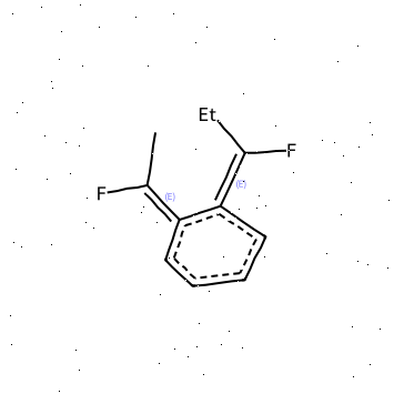 CC/C(F)=c1/cccc/c1=C(/C)F